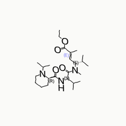 CCOC(=O)/C(C)=C/[C@H](C(C)C)N(C)C(=O)[C@@H](NC(=O)[C@H]1CCCCN1C(C)C)C(C)C